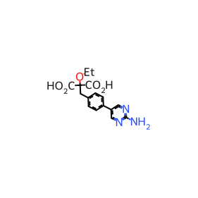 CCOC(Cc1ccc(-c2cnc(N)nc2)cc1)(C(=O)O)C(=O)O